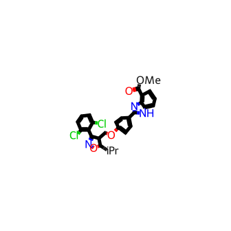 COC(=O)c1cccc2[nH]c(-c3ccc(OCC4C(c5c(Cl)cccc5Cl)=NOC4C(C)C)cc3)nc12